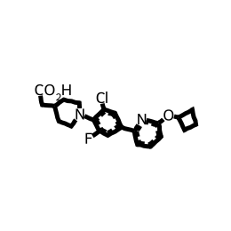 O=C(O)CC1CCN(c2c(F)cc(-c3cccc(OC4CCC4)n3)cc2Cl)CC1